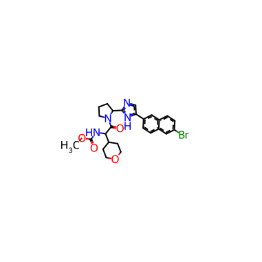 COC(=O)NC(C(=O)N1CCCC1c1ncc(-c2ccc3cc(Br)ccc3c2)[nH]1)C1CCOCC1